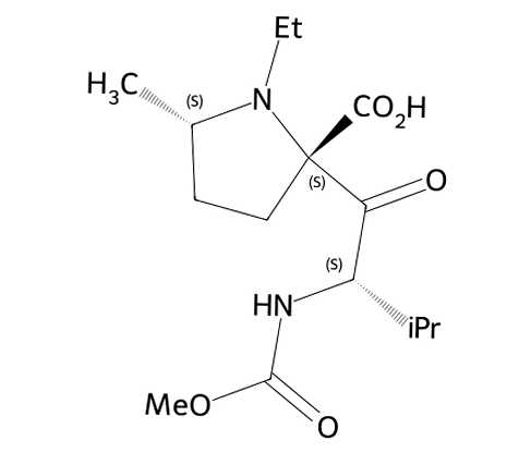 CCN1[C@@H](C)CC[C@@]1(C(=O)O)C(=O)[C@@H](NC(=O)OC)C(C)C